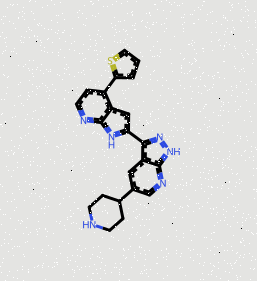 c1csc(-c2ccnc3[nH]c(-c4n[nH]c5ncc(C6CCNCC6)cc45)cc23)c1